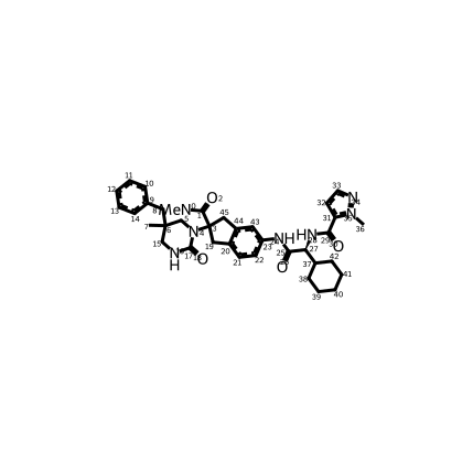 CNC(=O)C1(N2CC(C)(Cc3ccccc3)CNC2=O)Cc2ccc(NC(=O)[C@@H](NC(=O)c3ccnn3C)C3CCCCC3)cc2C1